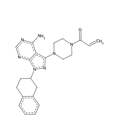 C=CC(=O)N1CCN(c2nn(C3CCc4ccccc4C3)c3ncnc(N)c23)CC1